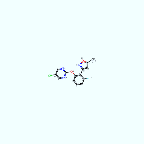 Fc1cccc(Oc2ncc(Cl)cn2)c1-c1cc(C(F)(F)F)on1